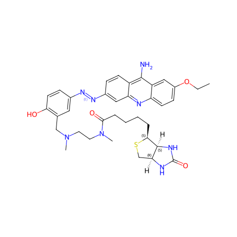 CCOc1ccc2nc3cc(/N=N/c4ccc(O)c(CN(C)CCN(C)C(=O)CCCC[C@@H]5SC[C@@H]6NC(=O)N[C@@H]65)c4)ccc3c(N)c2c1